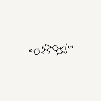 Cc1cc(=O)n(CC(C)(C)O)c2ccc(-n3ccnc(Sc4ccc(O)cc4)c3=O)cc12